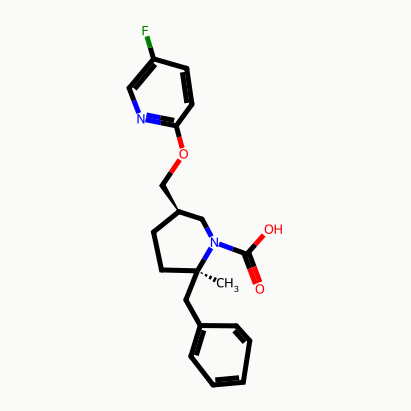 C[C@]1(Cc2ccccc2)CC[C@@H](COc2ccc(F)cn2)CN1C(=O)O